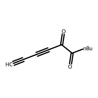 C#CC#CC(=O)C(=O)CCCC